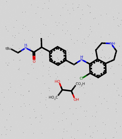 CC(C(=O)NCC(C)(C)C)c1ccc(CNc2c(Cl)ccc3c2CCNCC3)cc1.O=C(O)C(O)C(O)C(=O)O